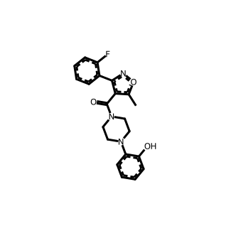 Cc1onc(-c2ccccc2F)c1C(=O)N1CCN(c2ccccc2O)CC1